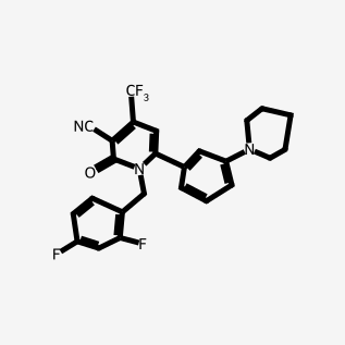 N#Cc1c(C(F)(F)F)cc(-c2cccc(N3CCCCC3)c2)n(Cc2ccc(F)cc2F)c1=O